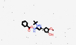 CO[C@@H]1C[C@H](c2cc(NOC(=O)c3ccccc3)n(C(C)(C)C)n2)C[C@@H]1O